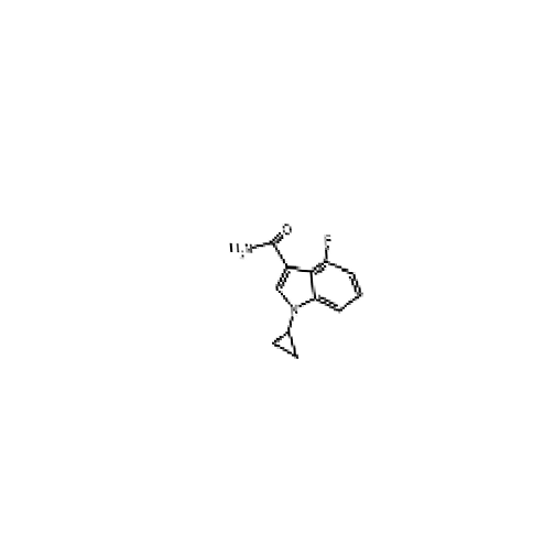 NC(=O)c1cn(C2CC2)c2cccc(F)c12